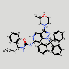 COC[C@@H](NC(=O)Nc1cc2c(cn1)c(N1CCOC(C)C1)nn2C(c1ccccc1)(c1ccccc1)c1ccccc1)c1ccccc1